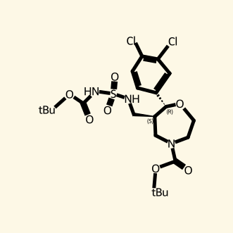 CC(C)(C)OC(=O)NS(=O)(=O)NC[C@@H]1CN(C(=O)OC(C)(C)C)CCO[C@H]1c1ccc(Cl)c(Cl)c1